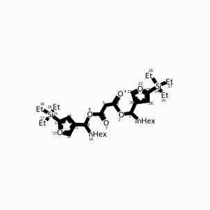 CCCCCCC(OC(=O)CC(=O)OC(CCCCCC)c1coc([Si](CC)(CC)CC)c1)c1coc([Si](CC)(CC)CC)c1